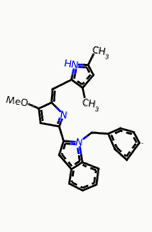 COC1=CC(c2cc3ccccc3n2Cc2cc[c]cc2)=NC1=Cc1[nH]c(C)cc1C